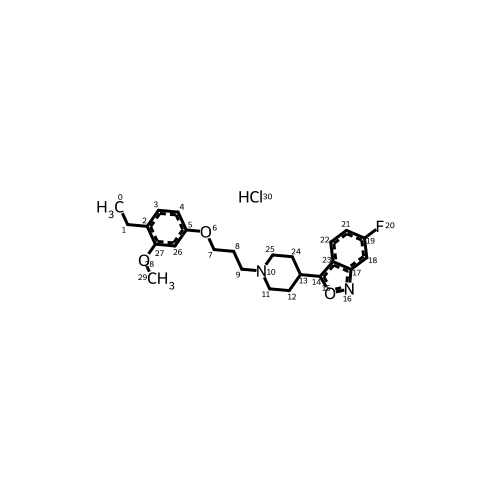 CCc1ccc(OCCCN2CCC(c3onc4cc(F)ccc34)CC2)cc1OC.Cl